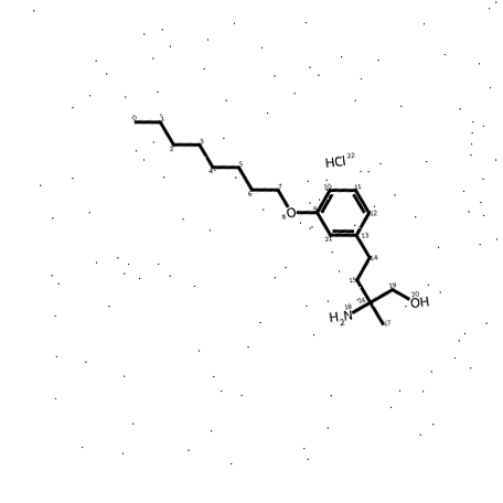 CCCCCCCCOc1cccc(CCC(C)(N)CO)c1.Cl